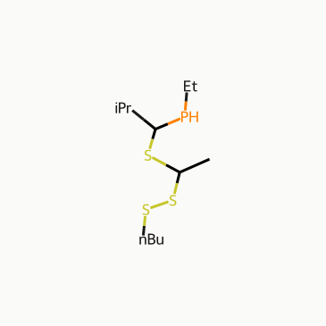 CCCCSSC(C)SC(PCC)C(C)C